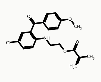 C=C(C)C(=O)OCCNc1ccc(Cl)cc1C(=O)c1ccc(OC)cc1